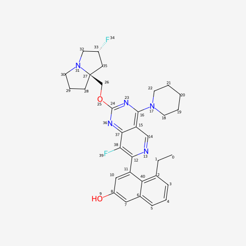 CCc1cccc2cc(O)cc(-c3ncc4c(N5CCCCC5)nc(OC[C@@]56CCCN5C[C@H](F)C6)nc4c3F)c12